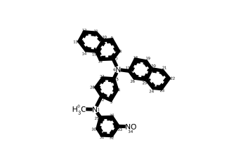 CN(c1ccc(N(c2ccc3ccccc3c2)c2ccc3ccccc3c2)cc1)c1cccc(N=O)c1